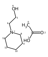 CC(=O)O.OCCN1CCCCC1